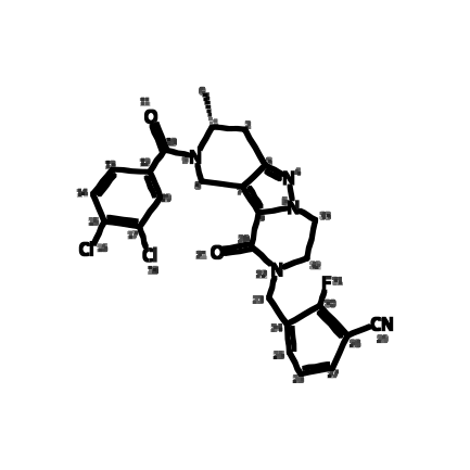 C[C@@H]1Cc2nn3c(c2CN1C(=O)c1ccc(Cl)c(Cl)c1)C(=O)N(Cc1cccc(C#N)c1F)CC3